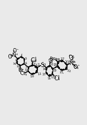 O=[N+]([O-])c1ccc(-c2c(Cl)ccc(Sc3ccc(Cl)c(-c4ccc([N+](=O)[O-])cc4Br)c3Cl)c2Cl)c(Br)c1